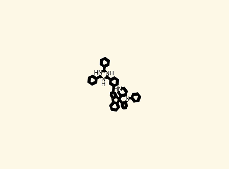 C1=CC2=C(CN1)C1(c3ccccc3-c3ccc(-c4cccc(C5NC(c6ccccc6)NC(c6ccccc6)N5)c4)cc31)c1ccccc1N2c1ccccc1